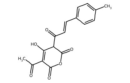 CC(=O)C1=C(O)C(C(=O)C=Cc2ccc(C)cc2)C(=O)OC1=O